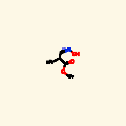 CCCC(/C=N\O)C(=O)OC(C)C